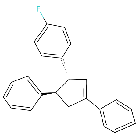 Fc1ccc([C@@H]2C=C(c3ccccc3)C[C@H]2c2ccccc2)cc1